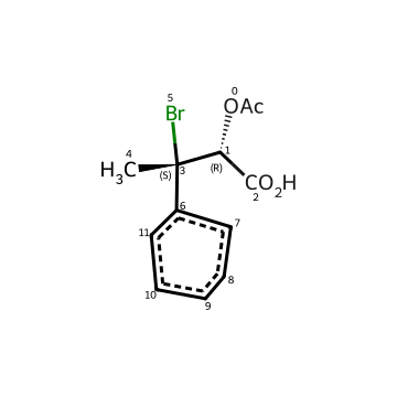 CC(=O)O[C@H](C(=O)O)[C@@](C)(Br)c1ccccc1